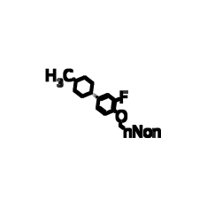 CCCCCCCCCCOc1ccc([C@H]2CC[C@H](C)CC2)cc1F